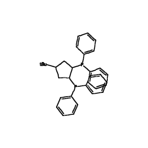 CC(C)(C)C1CC(P(c2ccccc2)c2ccccc2)C(P(c2ccccc2)c2ccccc2)C1